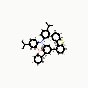 CC(C)c1ccc(N2c3ccc(C(C)C)cc3B3c4ccccc4-c4cc(-c5cccc6sc7ccccc7c56)cc2c43)cc1